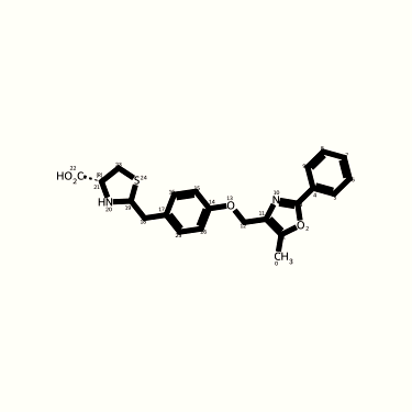 Cc1oc(-c2ccccc2)nc1COc1ccc(CC2N[C@H](C(=O)O)CS2)cc1